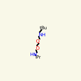 CC(C)NCCOCCOCCNCCC(C)(C)C